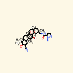 CC1(C)C(=O)C(C#N)=C[C@]2(C)C3=CC(=O)[C@]4(O)[C@@H]5C[C@@](C)(CNC(=O)c6ccn[nH]6)CC[C@]5(C)CC[C@@]4(C)[C@]3(C)CC[C@@H]12